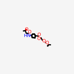 C=C(C)OCOCCOC(=O)c1ccc(NC(=O)CC(C)=O)cc1